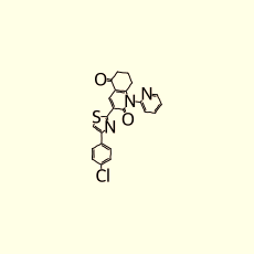 O=C1CCCc2c1cc(-c1nc(-c3ccc(Cl)cc3)cs1)c(=O)n2-c1ccccn1